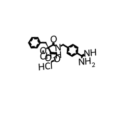 CO[C@](Cc1ccccc1)(C(=O)NCc1ccc(C(=N)N)cc1)C1=COCO1.Cl